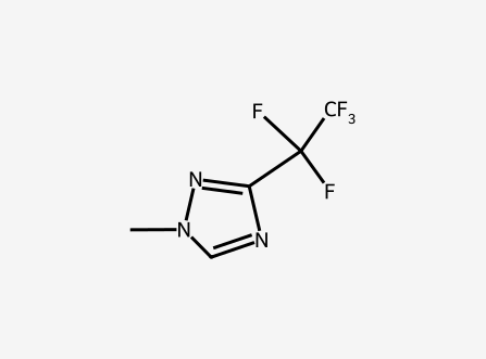 Cn1cnc(C(F)(F)C(F)(F)F)n1